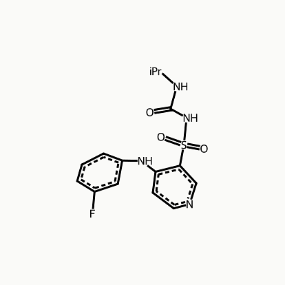 CC(C)NC(=O)NS(=O)(=O)c1cnccc1Nc1cccc(F)c1